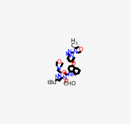 C[C@H]1COCCN1c1nnc2ccc(O[C@@H]3CC[C@H](NC(=O)N(OC=O)c4cc(C(C)(C)C)nn4CCN4CCOCC4)c4ccccc43)cn12